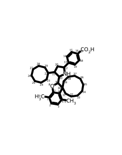 Cc1ccc(C)c2c1OC(C1NC(c3ccc(C(=O)O)cc3)CC1C1CCCCCCC1)C21CCCCCCCCC1